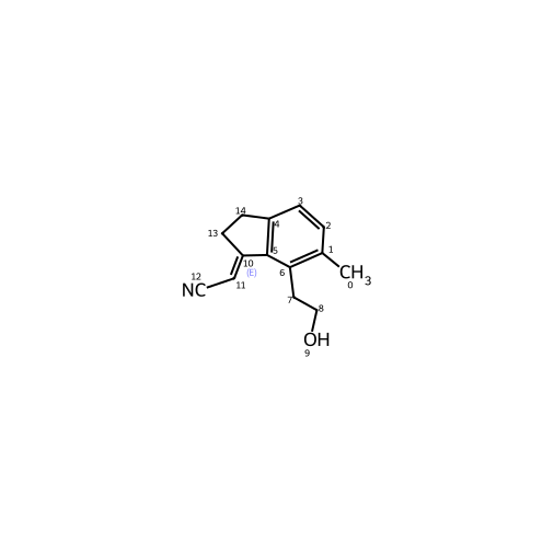 Cc1ccc2c(c1CCO)/C(=C/C#N)CC2